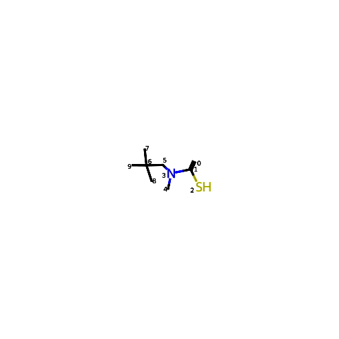 C=C(S)N(C)CC(C)(C)C